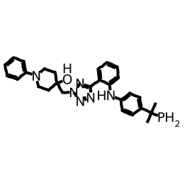 CC(C)(P)c1ccc(Nc2ccccc2-c2nnn(CC3(O)CCN(c4ccccc4)CC3)n2)cc1